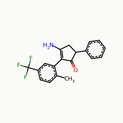 Cc1ccc(C(F)(F)F)cc1C1=C(N)CC(c2ccccc2)C1=O